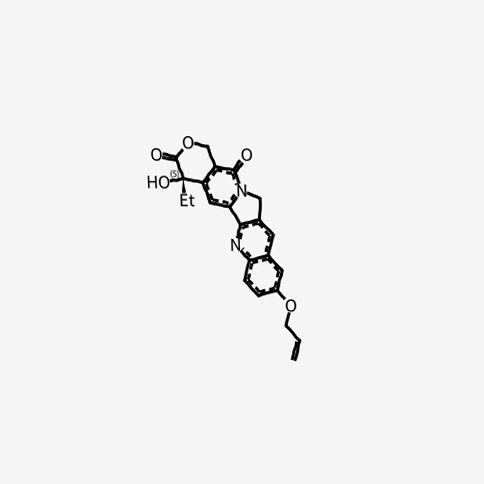 C=CCOc1ccc2nc3c(cc2c1)Cn1c-3cc2c(c1=O)COC(=O)[C@]2(O)CC